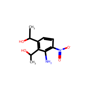 CC(O)c1ccc([N+](=O)[O-])c(N)c1C(C)O